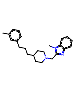 Cc1cccc(CCCC2CCN(Cc3nc4ccccc4n3C)CC2)c1